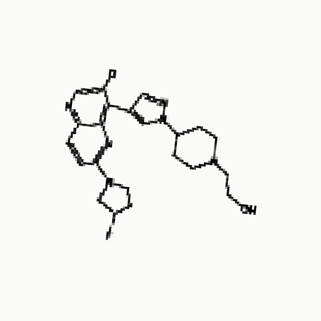 OCCN1CCC(n2cc(-c3c(Cl)cnc4ccc(N5CCC(F)C5)nc34)cn2)CC1